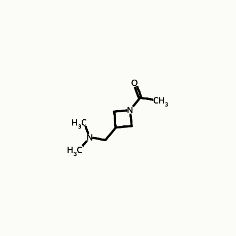 CC(=O)N1CC(CN(C)C)C1